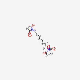 O=C1C=CC(=O)N1CCCCCCCCON1C(=O)CCC1=O